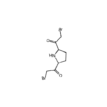 O=C(CBr)C1CCC(C(=O)CBr)N1